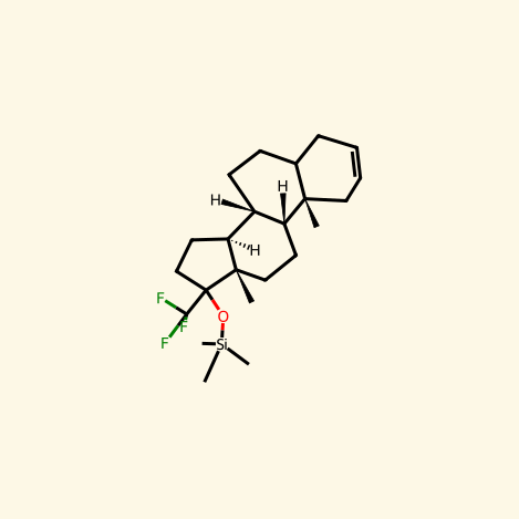 C[C@]12CC=CCC1CC[C@@H]1[C@H]2CC[C@@]2(C)[C@H]1CCC2(O[Si](C)(C)C)C(F)(F)F